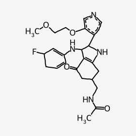 COCCOc1cnccc1C1NC2=C(C(=O)CC(CNC(C)=O)C2)C1NC1=CC(F)CC=C1